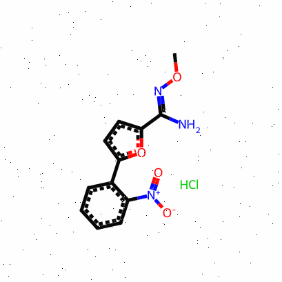 CON=C(N)c1ccc(-c2ccccc2[N+](=O)[O-])o1.Cl